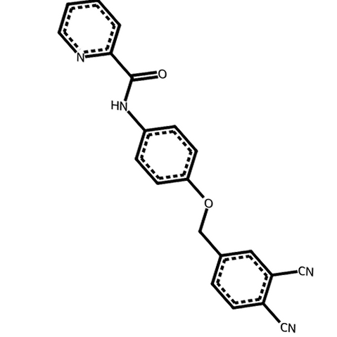 N#Cc1ccc(COc2ccc(NC(=O)c3ccccn3)cc2)cc1C#N